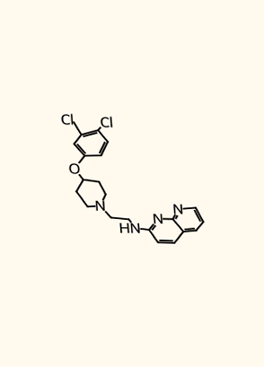 Clc1ccc(OC2CCN(CCNc3ccc4cccnc4n3)CC2)cc1Cl